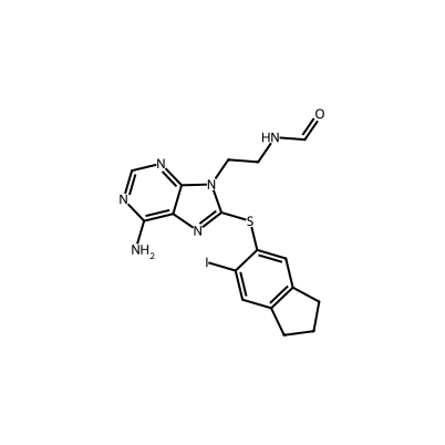 Nc1ncnc2c1nc(Sc1cc3c(cc1I)CCC3)n2CCNC=O